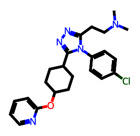 CN(C)CCc1nnc(C2CCC(Oc3ccccn3)CC2)n1-c1ccc(Cl)cc1